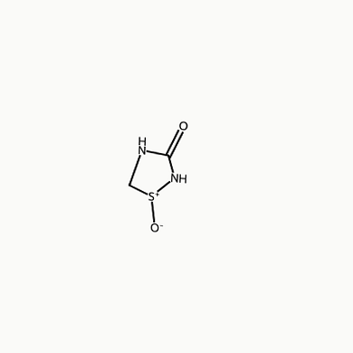 O=C1NC[S+]([O-])N1